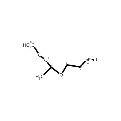 CCCCCCCOC(C)OCC(=O)O